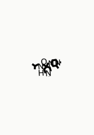 CC(C)CNC(=O)C1(CN2CCN(C)C(C)C2)CCN(C)CC1